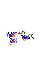 CCc1cc(N2C(=S)N(c3cnc(C#N)c(C(F)(F)F)c3)C(=O)C23CCC3)ccc1OCCC1CCN([C@@H](C)C(=O)Nc2cccc(NC3CCC(=O)NC3=O)c2)CC1